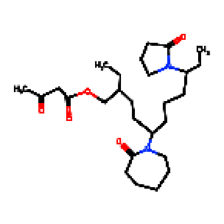 CCC(CCC(CCCC(CC)N1CCCC1=O)N1CCCCCC1=O)COC(=O)CC(C)=O